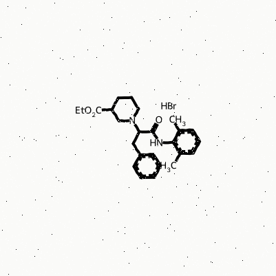 Br.CCOC(=O)C1CCCN(C(Cc2ccccc2)C(=O)Nc2c(C)cccc2C)C1